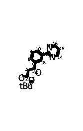 CC(C)(C)OC(=O)CC(=O)c1cccc(-c2ncccn2)c1